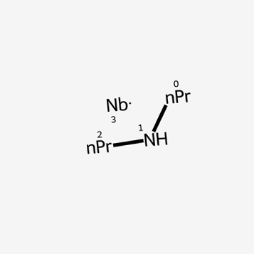 CCCNCCC.[Nb]